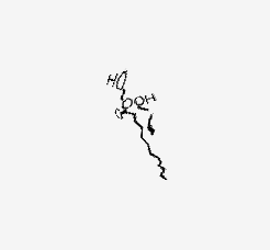 C=CC.CCCCCCCCCCCC(=O)OCCO.CCO